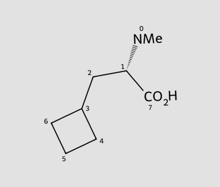 CN[C@@H](CC1CCC1)C(=O)O